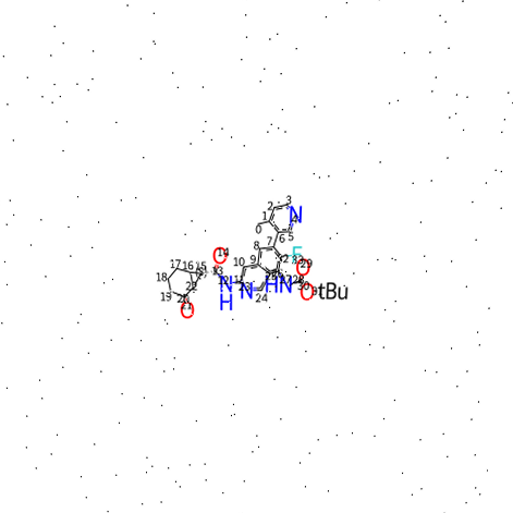 Cc1ccncc1-c1cc2cc(NC(=O)[C@H]3C4CCCC(=O)C43)ncc2c(NC(=O)OC(C)(C)C)c1F